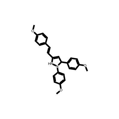 COc1ccc(C=CC2=CC(c3ccc(OC)cc3)N(c3ccc(OC)cc3)N2)cc1